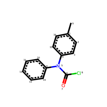 Cc1ccc(N(C(=O)Cl)c2ccccc2)cc1